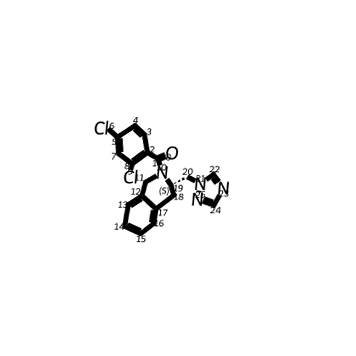 O=C(c1ccc(Cl)cc1Cl)N1Cc2ccccc2C[C@H]1Cn1cncn1